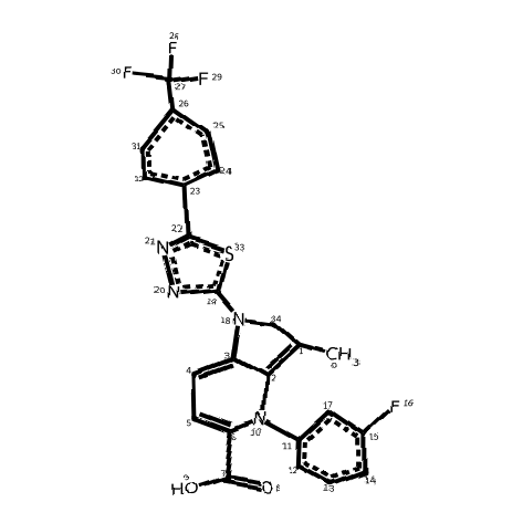 CC1=C2C(=CC=C(C(=O)O)N2c2cccc(F)c2)N(c2nnc(-c3ccc(C(F)(F)F)cc3)s2)C1